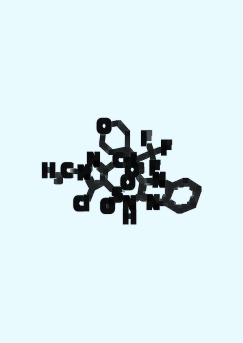 Cc1nn(C)c(Cl)c1S(=O)(=O)Nc1nc2ccccc2nc1OC(C1CCOCC1)C(F)(F)F